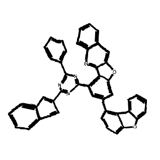 c1ccc(-c2nc(-c3ccc4ccccc4c3)nc(-c3cc(-c4cccc5oc6ccccc6c45)cc4oc5cc6ccccc6nc5c34)n2)cc1